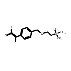 C[Si](C)(C)CCOCc1ccc(C(F)=C(F)F)cc1